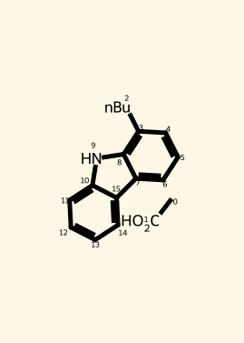 CC(=O)O.CCCCc1cccc2c1[nH]c1ccccc12